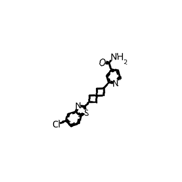 NC(=O)c1ccnc(C2CC3(C2)CC(c2nc4cc(Cl)ccc4s2)C3)c1